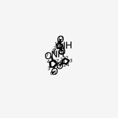 COc1ccc(C(=O)NC[C@@H]2CC(=O)NC2=O)cc1OC1CCCC1